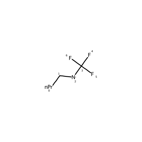 CCCC[N]C(F)(F)F